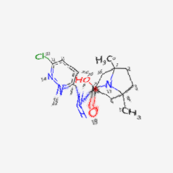 CC12CCC(C)(CC(Nc3ccc(Cl)nn3)C1)N2C(=O)O